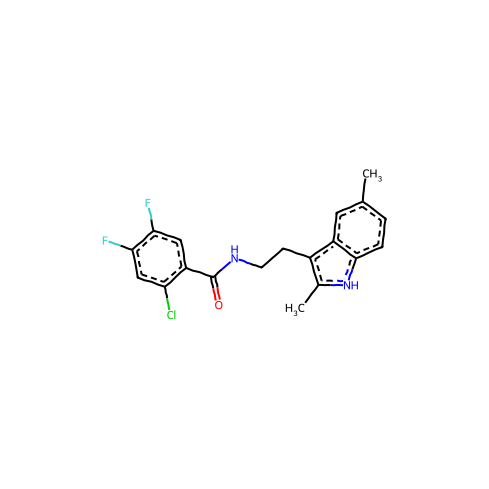 Cc1ccc2[nH]c(C)c(CCNC(=O)c3cc(F)c(F)cc3Cl)c2c1